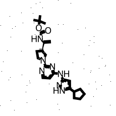 C=C(NC(=O)OC(C)(C)C)[C@@H]1CCN(c2nccc(Nc3cc(C4CCCC4)[nH]n3)n2)C1